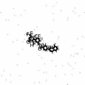 Cc1cccc2ccc(N3CCC(C(=O)NCc4ccc(C(F)(F)F)c(-c5nc(C(F)F)cc(=O)[nH]5)c4F)CC3)nc12